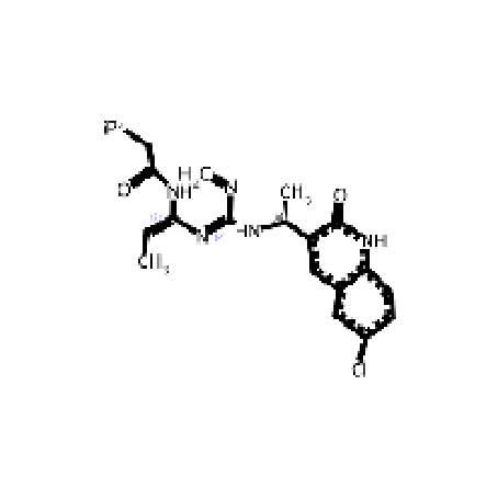 C=N/C(=N\C(=C/C)NC(=O)CC(C)C)N[C@@H](C)c1cc2cc(Cl)ccc2[nH]c1=O